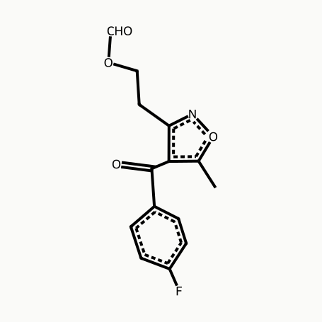 Cc1onc(CCOC=O)c1C(=O)c1ccc(F)cc1